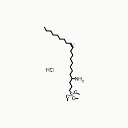 CCCCCCCC/C=C\CCCCCCCC(N)CCC[Si](OC)(OC)OC.Cl